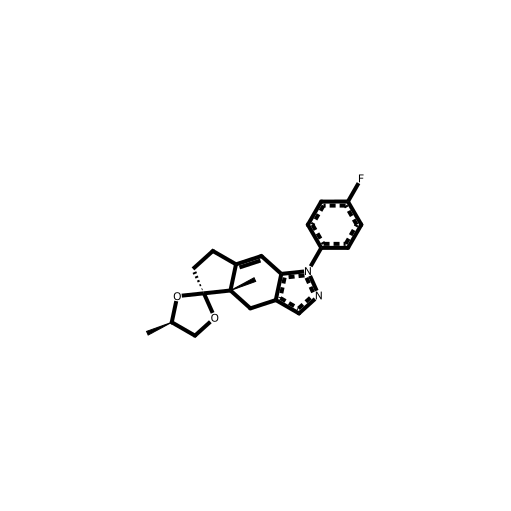 C[C@@H]1CO[C@@]2(CCC3=Cc4c(cnn4-c4ccc(F)cc4)C[C@@]32C)O1